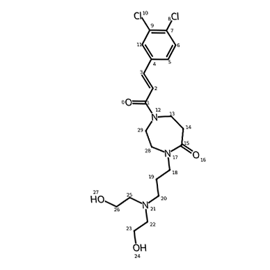 O=C(C=Cc1ccc(Cl)c(Cl)c1)N1CCC(=O)N(CCCN(CCO)CCO)CC1